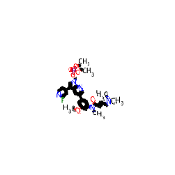 CCOP(=O)(OCC)OCn1cc(-c2ccnc(F)c2)c2cc(-c3cc(OC)cc(N(C)C(=O)C=CCN(C)C)c3)cnc21